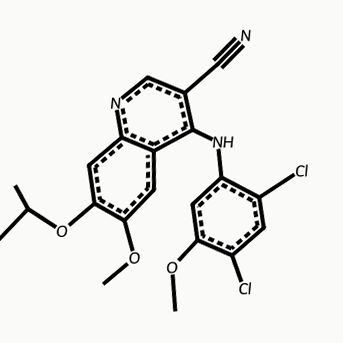 COc1cc(Nc2c(C#N)cnc3cc(OC(C)C)c(OC)cc23)c(Cl)cc1Cl